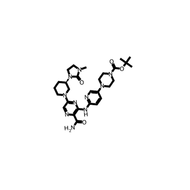 CN1CCN([C@@H]2CCCN(c3cnc(C(N)=O)c(Nc4ccc(N5CCN(C(=O)OC(C)(C)C)CC5)cn4)n3)C2)C1=O